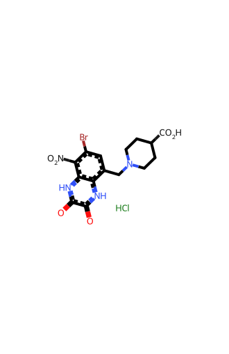 Cl.O=C(O)C1CCN(Cc2cc(Br)c([N+](=O)[O-])c3[nH]c(=O)c(=O)[nH]c23)CC1